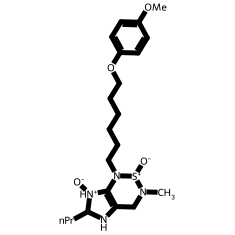 CCCC1NC2=C(N(CCCCCCOc3ccc(OC)cc3)[S+]([O-])N(C)C2)[NH+]1[O-]